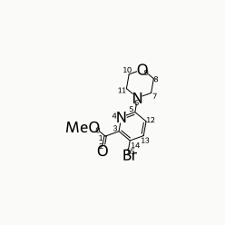 COC(=O)c1nc(N2CCOCC2)ccc1Br